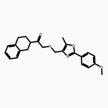 COc1ccc(-c2nc(CSCC(=O)C3CCc4ccccc4C3)c(C)o2)cc1